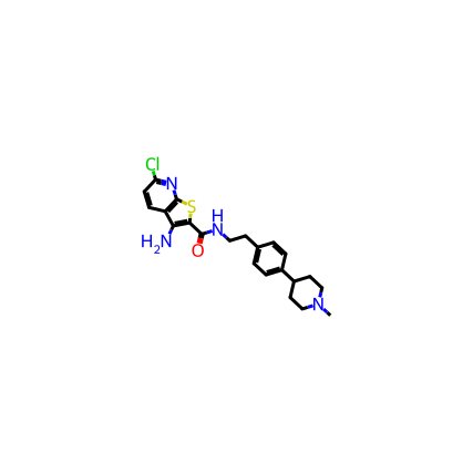 CN1CCC(c2ccc(CCNC(=O)c3sc4nc(Cl)ccc4c3N)cc2)CC1